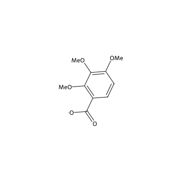 COc1ccc(C([O])=O)c(OC)c1OC